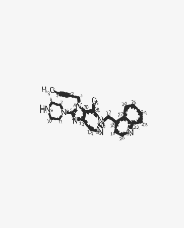 CC#CCn1c(N2CCNCC2)nc2cnn(Cc3ccnc4ccccc34)c(=O)c21